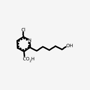 O=C(O)c1ccc(Cl)nc1CCCCCO